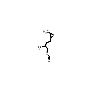 CC(CCC1OC1C)COC=O